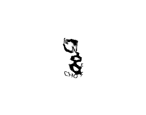 CN1CCCN(Cc2ccc(-c3ccc(C=O)c(F)c3F)cc2)CC1